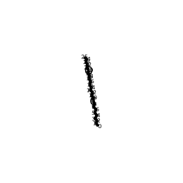 CCCCCCCCCCCCCCCCCCC[CH]OCCCCC